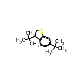 CC(C)(C)c1ccc2c(c1)SCC2C(C)(C)C